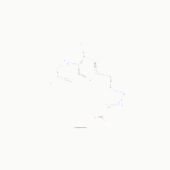 CCOC(=O)c1nnc(Cc2cc(F)c3ncc(Cl)cc3c2)o1